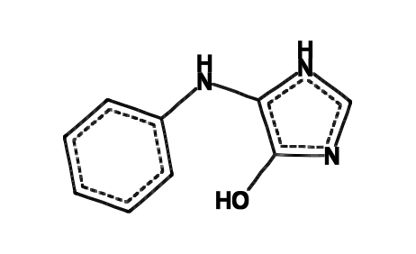 Oc1nc[nH]c1Nc1ccccc1